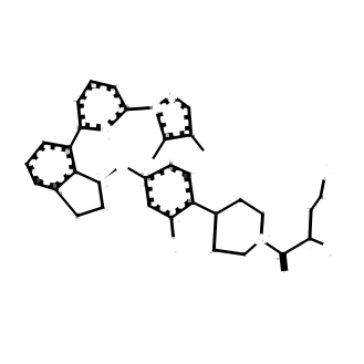 CCOC(=O)c1cnn(-c2cccc(-c3cccc4c3[C@@H](Oc3ccc(C5CCN(C(=O)C(C)CCO)CC5)c(CC)c3)CC4)n2)c1CC